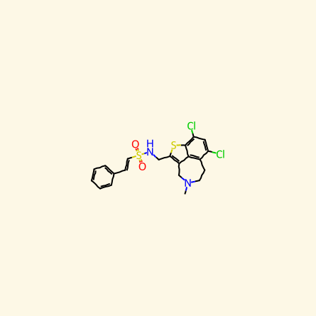 CN1CCc2c(Cl)cc(Cl)c3sc(CNS(=O)(=O)C=Cc4ccccc4)c(c23)C1